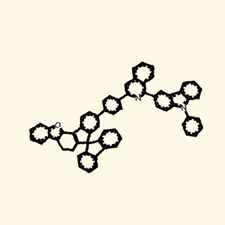 c1ccc(-n2c3ccccc3c3cc(-c4nc(-c5ccc(-c6ccc7c(c6)C6(C8=C7c7oc9ccccc9c7CC8)c7ccccc7-c7ccccc76)cc5)cc5ccccc45)ccc32)cc1